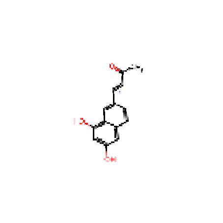 CC(=O)/C=C/c1ccc2cc(O)cc(O)c2c1